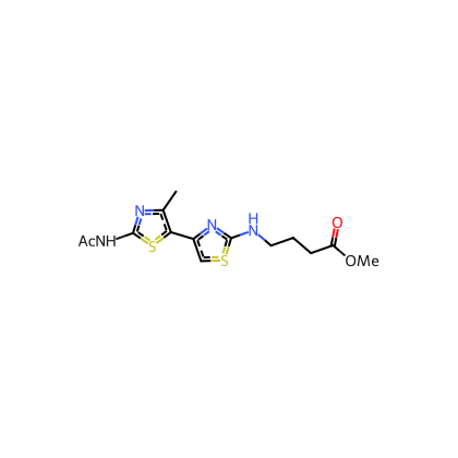 COC(=O)CCCNc1nc(-c2sc(NC(C)=O)nc2C)cs1